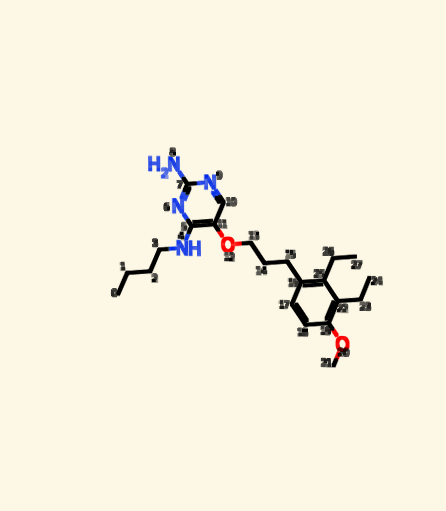 CCCCNc1nc(N)ncc1OCCCc1ccc(OC)c(CC)c1CC